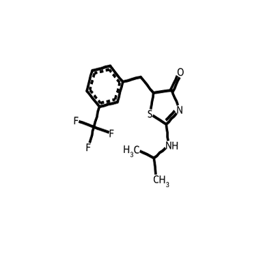 CC(C)NC1=NC(=O)C(Cc2cccc(C(F)(F)F)c2)S1